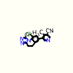 Cc1c(C#N)cncc1-c1cc(Cl)c2c(c1)CCc1nnc(C)n1-2